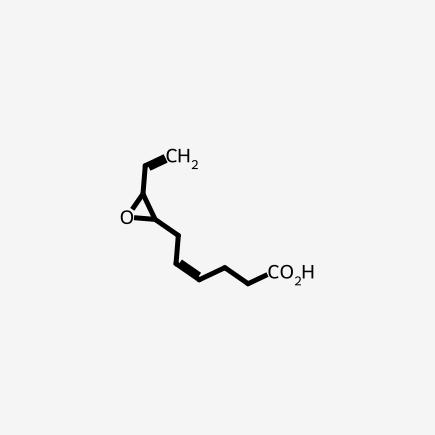 C=CC1OC1C/C=C\CCC(=O)O